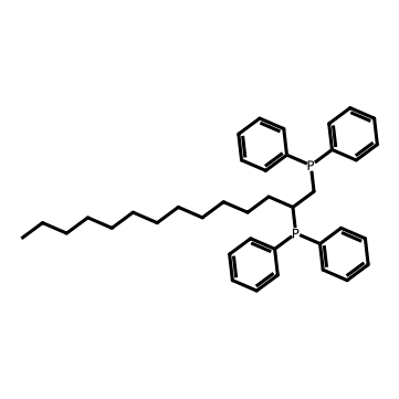 CCCCCCCCCCCCC(CP(c1ccccc1)c1ccccc1)P(c1ccccc1)c1ccccc1